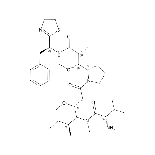 CC[C@H](C)C([C@@H](CC(=O)N1CCC[C@H]1[C@H](OC)[C@@H](C)C(=O)N[C@@H](Cc1ccccc1)c1nccs1)OC)N(C)C(=O)[C@@H](N)C(C)C